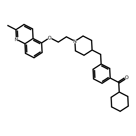 Cc1ccc2c(OCCN3CCC(Cc4cccc(C(=O)C5CCCCC5)c4)CC3)cccc2n1